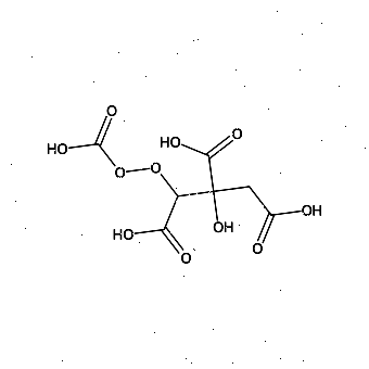 O=C(O)CC(O)(C(=O)O)C(OOC(=O)O)C(=O)O